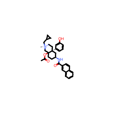 CC(=O)OC12CC[C@H](NC(=O)c3ccc4ccccc4c3)C[C@]1(c1cccc(O)c1)CC[N@+](C)(CC1CC1)C2